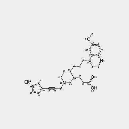 COc1ccc2nccc(CCCC3CCN(CC#Cc4ccc(Cl)s4)CC3CCC(=O)O)c2c1